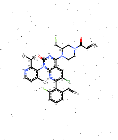 C=CC(=O)N1CCN(c2nc(=O)n(-c3c(C)ccnc3C(C)C)c3nc(-c4c(F)cccc4C=C)c(Cl)cc23)[C@@H](CF)C1